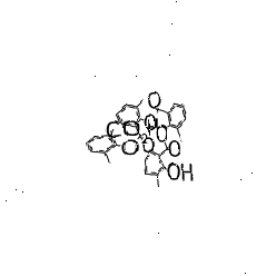 Cc1cccc(C(=O)Oc2c(C)cccc2C(=O)Oc2c(C)cccc2C(=O)Oc2c(C)cccc2C(=O)O)c1O